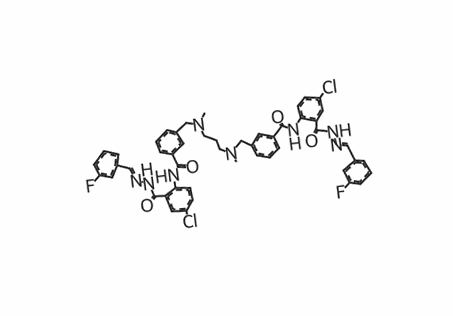 CN(CCCN(C)Cc1cccc(C(=O)Nc2ccc(Cl)cc2C(=O)NN=Cc2cccc(F)c2)c1)Cc1cccc(C(=O)Nc2ccc(Cl)cc2C(=O)NN=Cc2cccc(F)c2)c1